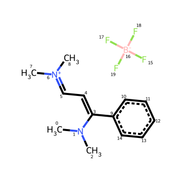 CN(C)C(=CC=[N+](C)C)c1ccccc1.F[B-](F)(F)F